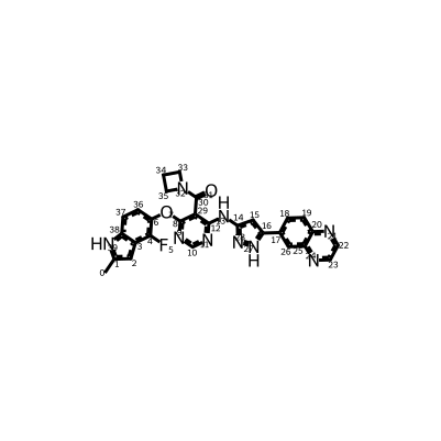 Cc1cc2c(F)c(Oc3ncnc(Nc4cc(-c5ccc6nccnc6c5)[nH]n4)c3C(=O)N3CCC3)ccc2[nH]1